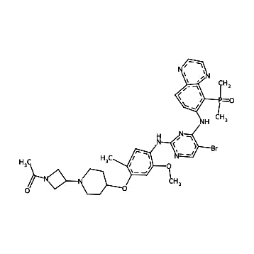 COc1cc(OC2CCN(C3CN(C(C)=O)C3)CC2)c(C)cc1Nc1ncc(Br)c(Nc2ccc3nccnc3c2P(C)(C)=O)n1